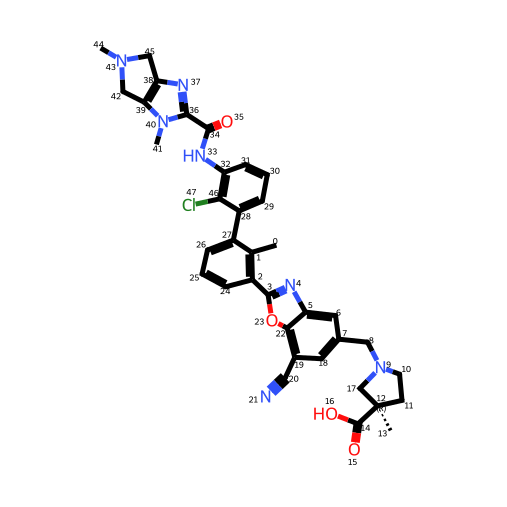 Cc1c(-c2nc3cc(CN4CC[C@@](C)(C(=O)O)C4)cc(C#N)c3o2)cccc1-c1cccc(NC(=O)c2nc3c(n2C)CN(C)C3)c1Cl